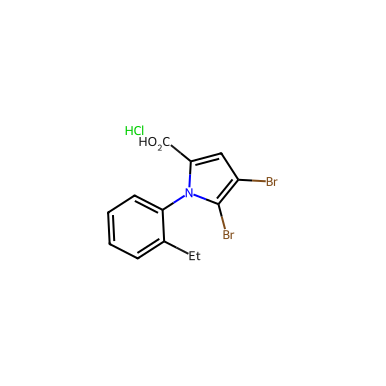 CCc1ccccc1-n1c(C(=O)O)cc(Br)c1Br.Cl